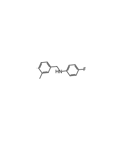 Cc1[c]ccc(CNc2ccc(F)cc2)c1